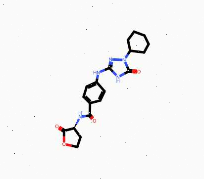 O=C(N[C@H]1CCOC1=O)c1ccc(Nc2nn(C3CCCCC3)c(=O)[nH]2)cc1